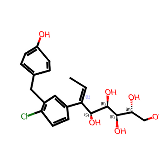 C/C=C(\c1ccc(Cl)c(Cc2ccc(O)cc2)c1)[C@H](O)[C@@H](O)[C@H](O)[C@H](O)CO